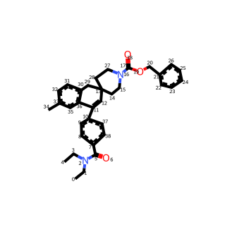 CCN(CC)C(=O)c1ccc(C2=CC3(CCN(C(=O)OCc4ccccc4)CC3)Cc3ccc(C)cc32)cc1